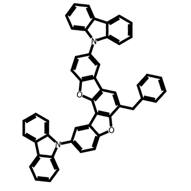 c1ccc(Cc2cc3c4cc(-n5c6ccccc6c6ccccc65)ccc4oc3c3c2oc2ccc(-n4c5ccccc5c5ccccc54)cc23)cc1